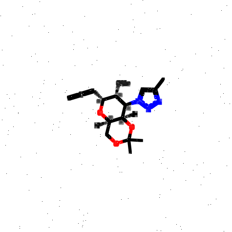 C=C=C[C@H]1O[C@@H]2COC(C)(C)O[C@@H]2[C@H](n2cc(C)nn2)[C@H]1OC